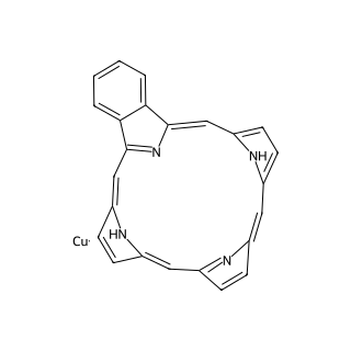 C1=Cc2cc3ccc(cc4nc(cc5ccc(cc1n2)[nH]5)-c1ccccc1-4)[nH]3.[Cu]